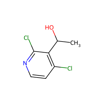 CC(O)c1c(Cl)ccnc1Cl